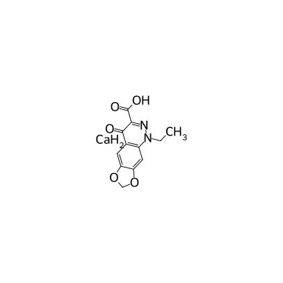 CCn1nc(C(=O)O)c(=O)c2cc3c(cc21)OCO3.[CaH2]